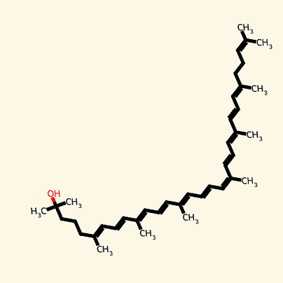 CC(C)=CCC/C(C)=C/C=C/C(C)=C/C=C/C(C)=C\C=C\C=C(C)\C=C\C=C(C)\C=C\C=C(/C)CCCC(C)(C)O